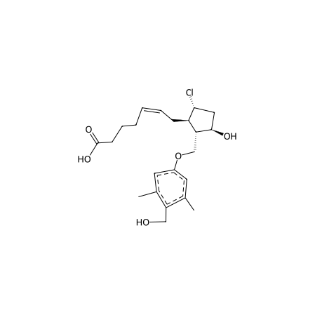 Cc1cc(OC[C@@H]2[C@@H](C/C=C\CCCC(=O)O)[C@H](Cl)C[C@H]2O)cc(C)c1CO